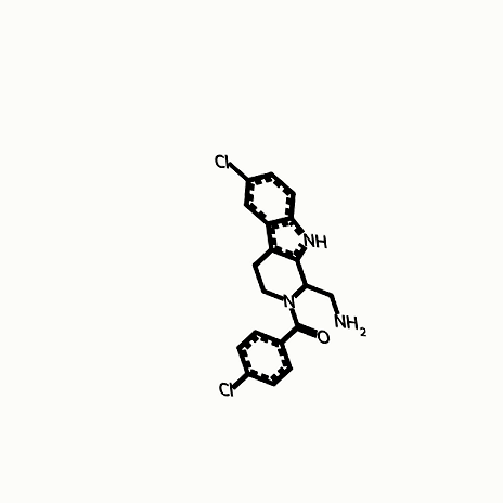 NCC1c2[nH]c3ccc(Cl)cc3c2CCN1C(=O)c1ccc(Cl)cc1